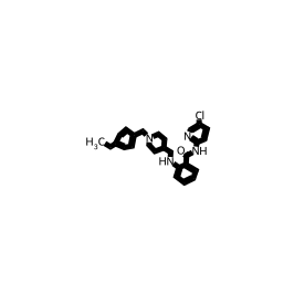 CCc1ccc(CN2CCC(CNc3ccccc3C(=O)Nc3ccc(Cl)cn3)CC2)cc1